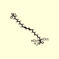 CCCCCCCCC(CCCCCCCC)(CCCCCCCC#CC#CCCCCCCCCC(N)=O)C(N)=O